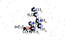 Cc1cc(C)c([C@@H]2CCCN2C)cn1.Cc1cc(C)c([C@@H]2CCCN2C)cn1.Cc1cc(C)c([C@@H]2CCCN2C)cn1.O=C(O)CC(O)(CC(=O)O)C(=O)O